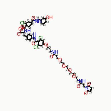 O=C(CCOCCOCCOCCOCCNC(=O)CCN1C(=O)C=CC1=O)NCCCOc1cc(Cl)c(C(=O)Nc2ccc(CC(NC(=O)c3ccc(C(=O)NCc4cccc(O)c4)cc3Cl)C(=O)O)cc2)c(Cl)c1